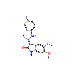 CCC(Nc1ccc(I)cc1)=C1C(=O)Nc2cc(OC)c(OC)cc21